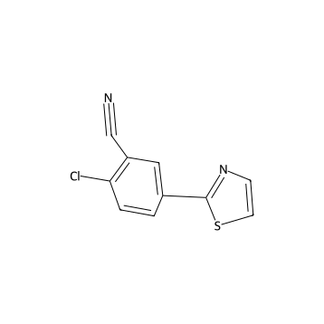 N#Cc1cc(-c2nccs2)ccc1Cl